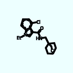 CCn1cc(C(=O)NCC23CCC(CC2)CC3)c2c(Cl)cccc21